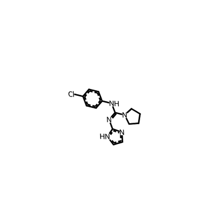 Clc1ccc(NC(=Nc2ncc[nH]2)N2CCCC2)cc1